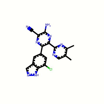 Cc1cnc(-c2nc(N)c(C#N)nc2-c2cc(Cl)c3[nH]ncc3c2)nc1C